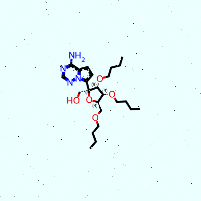 CCCCOC[C@H]1O[C@@](CO)(c2ccc3c(N)ncnn23)[C@H](OCCCC)[C@@H]1OCCCC